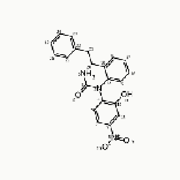 NC(=O)N(c1ccc([N+](=O)[O-])cc1O)c1ccccc1CCc1ccccc1